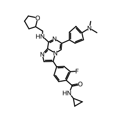 CN(C)c1ccc(-c2cn3c(-c4ccc(C(=O)NC5CC5)c(F)c4)cnc3c(NCC3CCCO3)n2)cc1